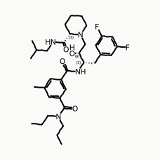 CCCN(CCC)C(=O)c1cc(C)cc(C(=O)N[C@@H](Cc2cc(F)cc(F)c2)[C@H](O)CN2CCCC[C@H]2C(=O)NCC(C)C)c1